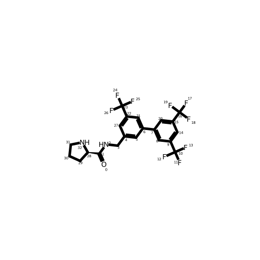 O=C(NCc1cc(-c2cc(C(F)(F)F)cc(C(F)(F)F)c2)cc(C(F)(F)F)c1)[C@H]1CCCN1